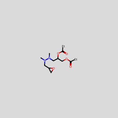 CCC(=O)OCC(CN(C)N(C)CC1CO1)OC(=O)CC